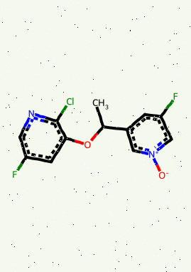 CC(Oc1cc(F)cnc1Cl)c1cc(F)c[n+]([O-])c1